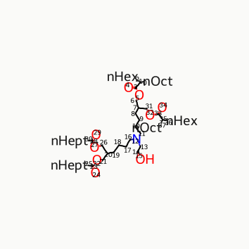 CCCCCCCCC(CCCCCC)C(=O)OCC(CCCCN(CCO)CCCCC(COC(=O)CCCCCCC)COC(=O)CCCCCCC)COC(=O)C(CCCCCC)CCCCCCCC